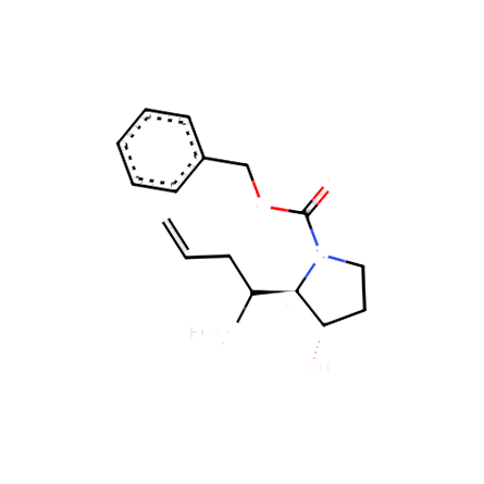 C=CCC(C(=O)OCC)[C@@H]1[C@@H](O)CCN1C(=O)OCc1ccccc1